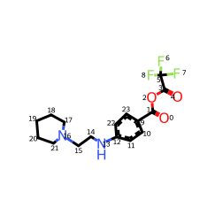 O=C(OC(=O)C(F)(F)F)c1ccc(NCCN2CCCCC2)cc1